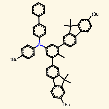 Cc1c(-c2ccc3c(c2)C(C)(C)c2cc(C(C)(C)C)ccc2-3)cc(N(c2ccc(-c3ccccc3)cc2)c2ccc(C(C)(C)C)cc2)cc1-c1ccc2c(c1)C(C)(C)c1cc(C(C)(C)C)ccc1-2